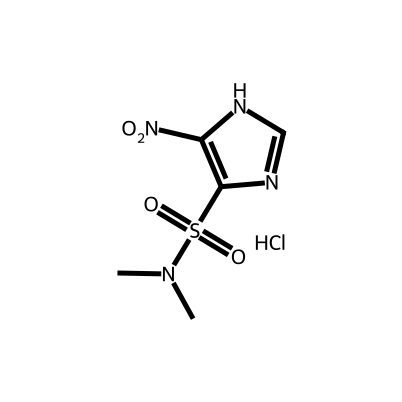 CN(C)S(=O)(=O)c1nc[nH]c1[N+](=O)[O-].Cl